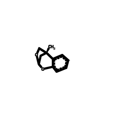 C[C@]12COC(C1)Oc1cc[c]cc12